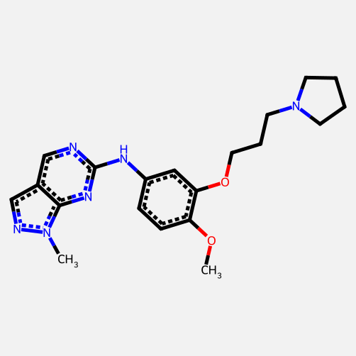 COc1ccc(Nc2ncc3cnn(C)c3n2)cc1OCCCN1CCCC1